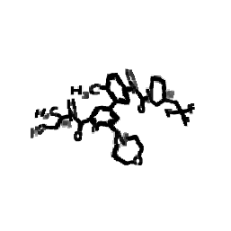 Cc1ccc(NC(=O)N2CC[C@@H](CC(F)(F)F)C2)cc1-c1cc(C(=O)N[C@H](C)CO)nc(N2CCOCC2)c1